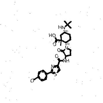 CC(C)(C)N[C@@H]1CC[C@H](N2CCC(NC(=O)c3csc(-c4ccc(Cl)cc4)n3)C2=O)[C@](C)(C(=O)O)C1